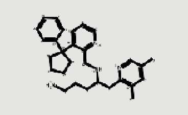 Cc1cnc(CC(CCCN)NCc2ncccc2C2(c3ccccc3)CCCC2)c(C)c1